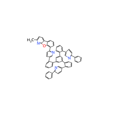 Cc1ccc2c(n1)oc1c(-c3ccc(-c4ccccc4-c4cc(-c5ccccc5-c5ccc(-c6ccccc6)nc5)cc(-c5ccccc5-c5ccc(-c6ccccc6)nc5)c4)cn3)cccc12